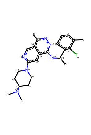 Cc1cccc([C@@H](C)Nc2nnc(C)c3cnc(N4CCC(N(C)C)CC4)cc23)c1F